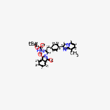 Cc1cccn2cc(-c3ccc(C[C@@H](CN4C(=O)c5ccccc5C4=O)NC(=O)OC(C)(C)C)cc3)nc12